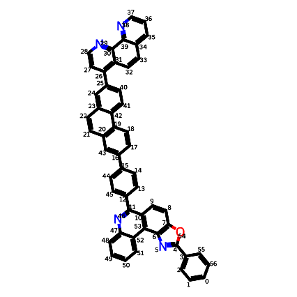 c1ccc(-c2nc3c(ccc4c(-c5ccc(-c6ccc7c(ccc8cc(-c9ccnc%10c9ccc9cccnc9%10)ccc87)c6)cc5)nc5ccccc5c43)o2)cc1